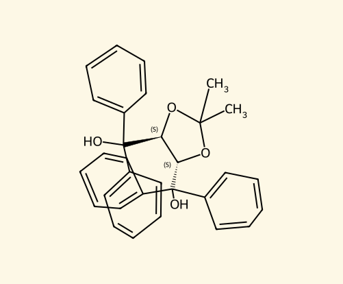 CC1(C)O[C@H](C(O)(c2ccccc2)c2ccccc2)[C@@H](C(O)(c2ccccc2)c2ccccc2)O1